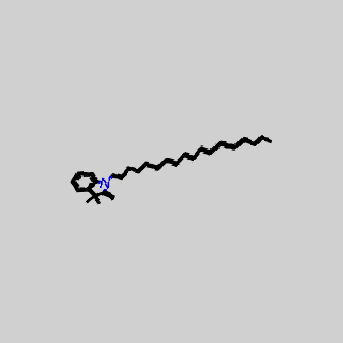 C=C1N(CCCCCCCCCCCCCCCCCC)c2ccccc2C1(C)C